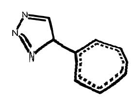 C1=NN=N[C]1c1ccccc1